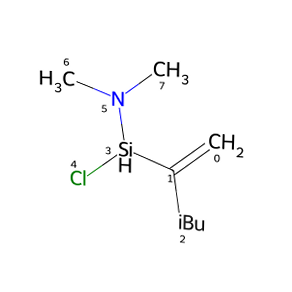 C=C(C(C)CC)[SiH](Cl)N(C)C